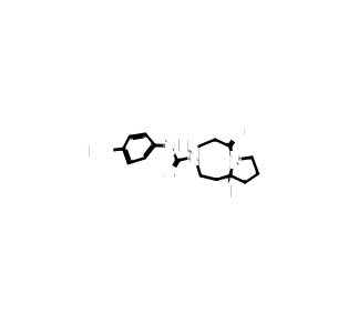 Cc1ccc(NC(=O)N2CCC(=O)N3CCC[C@@H]3CC2)cc1